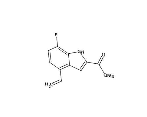 C=Cc1ccc(F)c2[nH]c(C(=O)OC)cc12